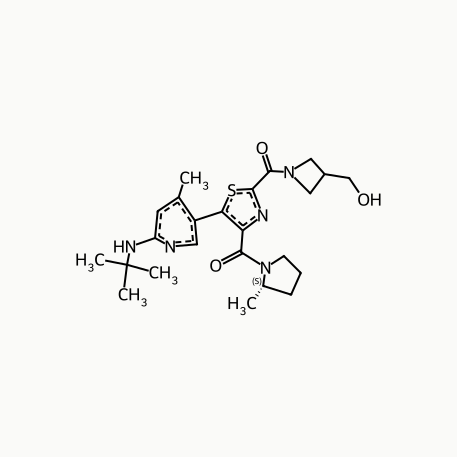 Cc1cc(NC(C)(C)C)ncc1-c1sc(C(=O)N2CC(CO)C2)nc1C(=O)N1CCC[C@@H]1C